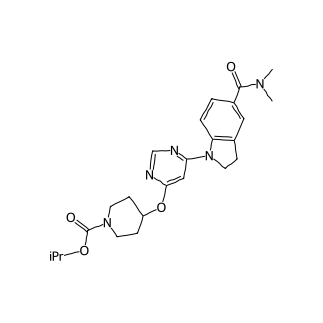 CC(C)OC(=O)N1CCC(Oc2cc(N3CCc4cc(C(=O)N(C)C)ccc43)ncn2)CC1